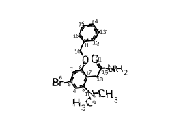 CN(C)c1cc(Br)cc(OCc2ccccc2)c1CC(N)=O